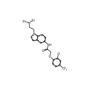 CCN(CC)CCn1ccc2cc(NC(=O)COc3ccc(C(F)(F)F)cc3Cl)ccc21